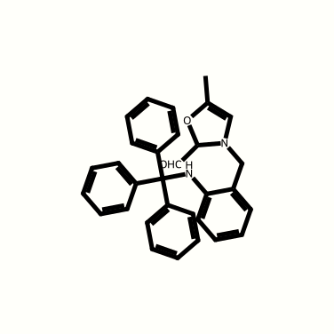 CC1=CN(Cc2ccccc2NC(c2ccccc2)(c2ccccc2)c2ccccc2)C(C=O)O1